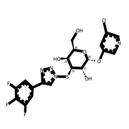 OC[C@H]1O[C@H](Oc2cncc(Cl)c2)[C@H](O)[C@@H](Sn2cc(-c3cc(F)c(F)c(F)c3)nn2)[C@H]1O